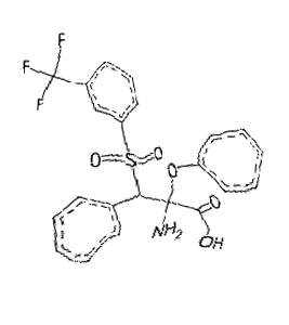 NC(Oc1ccccc1)(C(=O)O)C(c1ccccc1)S(=O)(=O)c1cccc(C(F)(F)F)c1